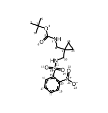 CC(C)(C)OC(=O)NCC1(CNS(=O)(=O)c2ccccc2[N+](=O)[O-])CC1